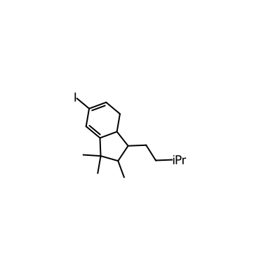 CC(C)CCC1C2CC=C(I)C=C2C(C)(C)C1C